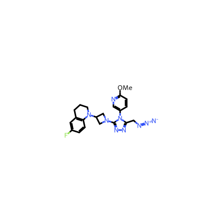 COc1ccc(-n2c(CN=[N+]=[N-])nnc2N2CC(N3CCCc4cc(F)ccc43)C2)cn1